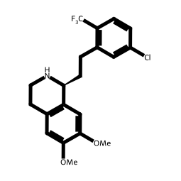 COc1cc2c(cc1OC)[C@H](CCc1cc(Cl)ccc1C(F)(F)F)NCC2